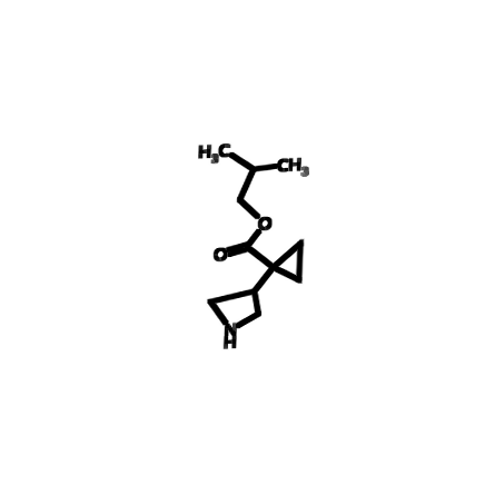 CC(C)COC(=O)C1(C2CNC2)CC1